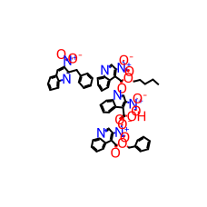 CCCCCOC(=O)c1c([N+](=O)[O-])cnc2ccccc12.O=C(O)c1c([N+](=O)[O-])cnc2ccccc12.O=C(OCc1ccccc1)c1c([N+](=O)[O-])cnc2ccccc12.O=[N+]([O-])c1cc2ccccc2nc1Cc1ccccc1